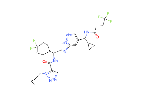 O=C(CCC(F)(F)F)NC(c1cnn2cc([C@@H](NC(=O)c3cnnn3CC3CC3)C3CCC(F)(F)CC3)nc2c1)C1CC1